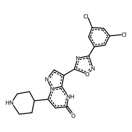 O=c1cc(C2CCNCC2)n2ncc(-c3nc(-c4cc(Cl)cc(Cl)c4)no3)c2[nH]1